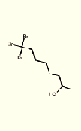 CC(O)CCCCCC(Br)(Br)Br